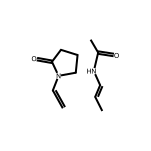 C=CN1CCCC1=O.CC=CNC(C)=O